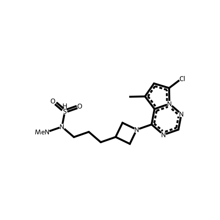 CNN(CCCC1CN(c2ncnn3c(Cl)cc(C)c23)C1)[SH](=O)=O